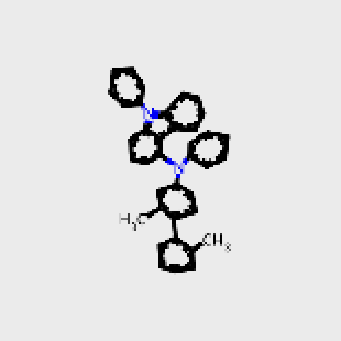 Cc1ccccc1-c1ccc(N(c2ccccc2)c2cccc3c2c2ccccc2n3-c2ccccc2)cc1C